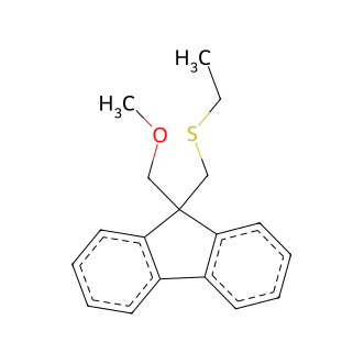 CCSCC1(COC)c2ccccc2-c2ccccc21